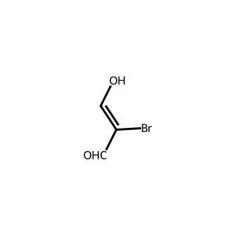 O=C/C(Br)=C/O